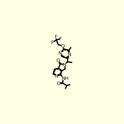 Cc1nc(C(C)N2Cc3c(ccnc3NC(=O)C(C)C)C2=O)cnc1OCC(F)(F)F